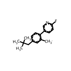 [CH2]c1cc(CC(C)(C)C)ccc1-c1ccc(F)nc1